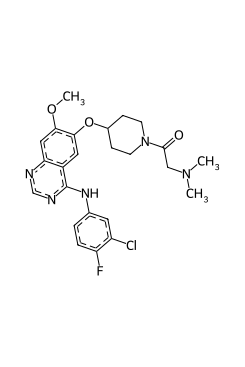 COc1cc2ncnc(Nc3ccc(F)c(Cl)c3)c2cc1OC1CCN(C(=O)CN(C)C)CC1